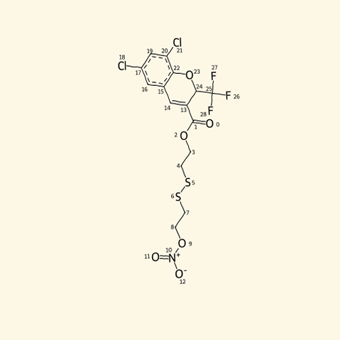 O=C(OCCSSCCO[N+](=O)[O-])C1=Cc2cc(Cl)cc(Cl)c2OC1C(F)(F)F